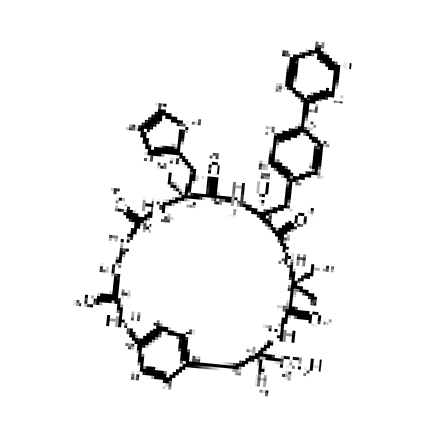 C[C@H]1NC(=O)[C@H](Cc2ccc(-c3ccccc3)cc2)NC(=O)[C@@H](Cc2cccs2)NC(=O)CCC(=O)Nc2ccc(cc2)C[C@@H](C(=O)O)NC1=O